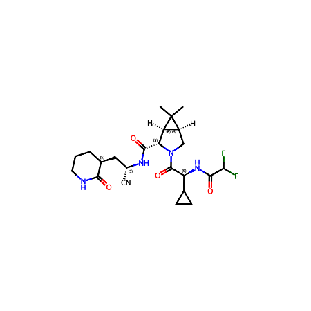 CC1(C)[C@@H]2[C@@H](C(=O)N[C@H](C#N)C[C@@H]3CCCNC3=O)N(C(=O)[C@@H](NC(=O)C(F)F)C3CC3)C[C@@H]21